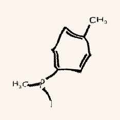 Cc1ccc(P(C)I)cc1